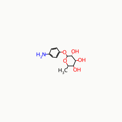 C[C@H]1OC(Oc2ccc(N)cc2)[C@H](O)[C@@H](O)[C@H]1O